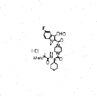 CN[C@@H](C)C(=O)N[C@H](C(=O)N1CCN(C(=O)c2c(C=O)c3cc(F)ccc3n2C)CC1)C1CCCCC1.Cl